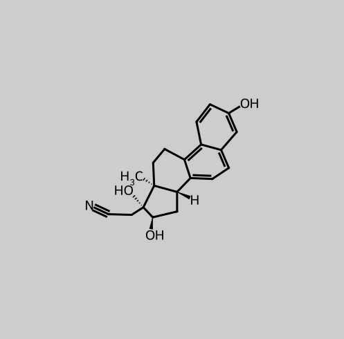 C[C@]12CCc3c(ccc4cc(O)ccc34)[C@@H]1C[C@@H](O)[C@@]2(O)CC#N